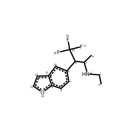 CCNC(C)C(c1ccc2occc2c1)C(F)(F)F